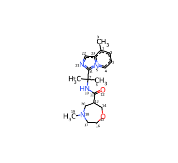 Cc1cccn2c(C(C)(C)NC(=O)C3COCCN(C)C3)ncc12